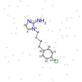 Nc1nccn1CCCCc1ccc(Cl)cc1